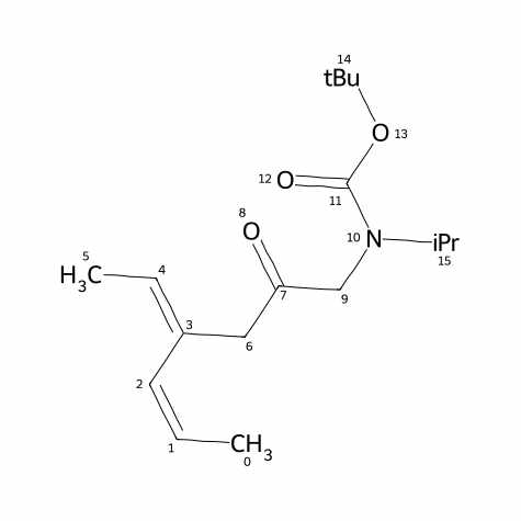 C/C=C\C(=C/C)CC(=O)CN(C(=O)OC(C)(C)C)C(C)C